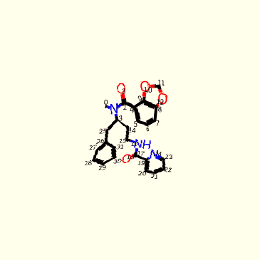 CN(C(=O)c1cccc2c1OCO2)[C@@H](CCNC(=O)c1ccccn1)Cc1ccccc1